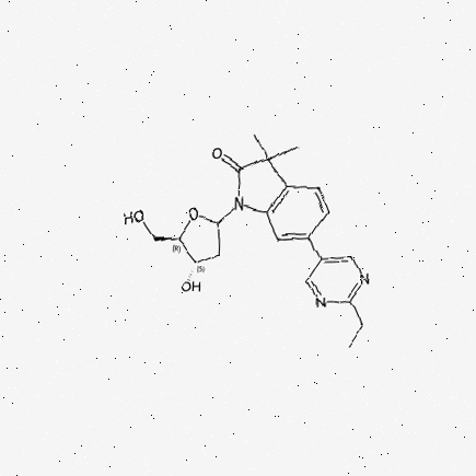 CCc1ncc(-c2ccc3c(c2)N(C2C[C@H](O)[C@@H](CO)O2)C(=O)C3(C)C)cn1